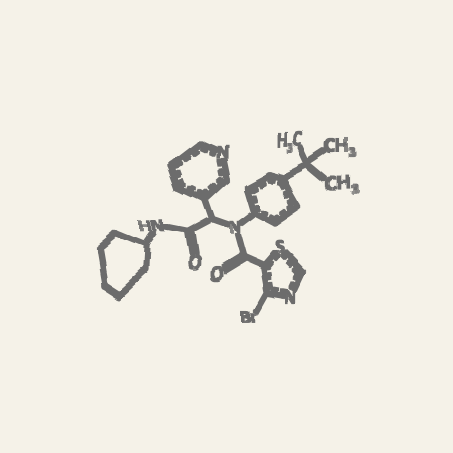 CC(C)(C)c1ccc(N(C(=O)c2scnc2Br)C(C(=O)NC2CCCCC2)c2cccnc2)cc1